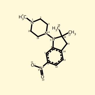 CN1CCN(N2c3cc([N+](=O)[O-])ccc3CC2(C)C)CC1